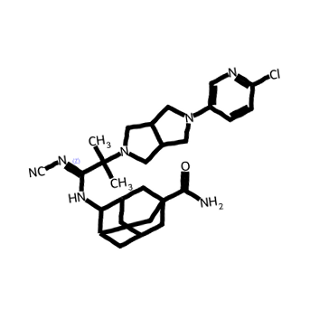 CC(C)(/C(=N/C#N)NC1C2CC3CC1CC(C(N)=O)(C3)C2)N1CC2CN(c3ccc(Cl)nc3)CC2C1